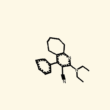 CCN(CC)c1nc2c(c(-c3ccccc3)c1C#N)CCCCC2